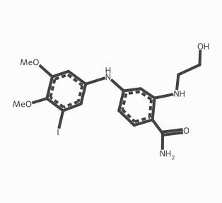 COc1cc(Nc2ccc(C(N)=O)c(NCCO)c2)cc(I)c1OC